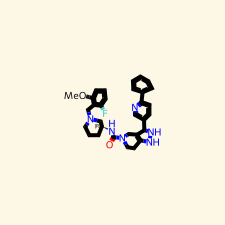 COc1cccc(F)c1CN1CCC[C@@H](NC(=O)N2CCC3=C(C2)C(c2ccc(-c4ccccc4)nc2)NN3)C1